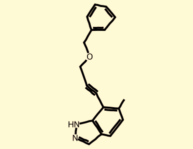 Cc1ccc2cn[nH]c2c1C#CCOCc1ccccc1